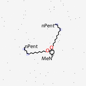 CCCCC/C=C\C/C=C\CCCCCCCCO[C@H]1CC[C@@H](CNC)C[C@H]1OCCCCCCCC/C=C\C/C=C\CCCCC